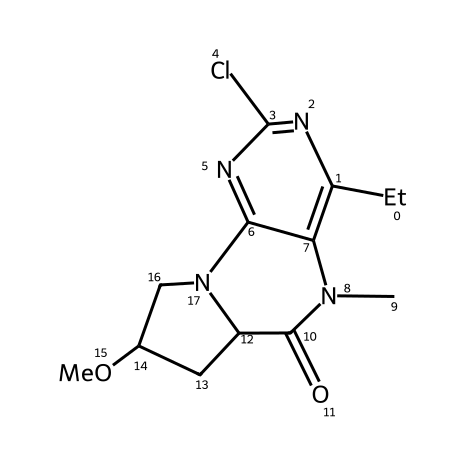 CCc1nc(Cl)nc2c1N(C)C(=O)C1CC(OC)CN21